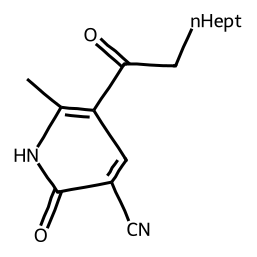 CCCCCCCCC(=O)c1cc(C#N)c(=O)[nH]c1C